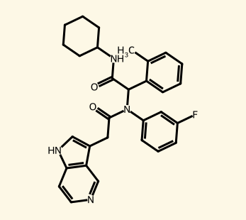 Cc1ccccc1C(C(=O)NC1CCCCC1)N(C(=O)Cc1c[nH]c2ccncc12)c1cccc(F)c1